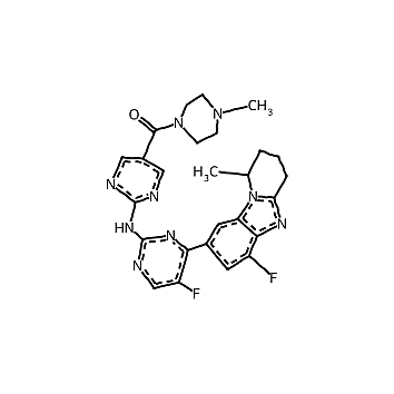 CC1CCCc2nc3c(F)cc(-c4nc(Nc5ncc(C(=O)N6CCN(C)CC6)cn5)ncc4F)cc3n21